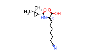 CC1(C)CC1C(=O)N/C(=C\CCCCCC#N)C(=O)O